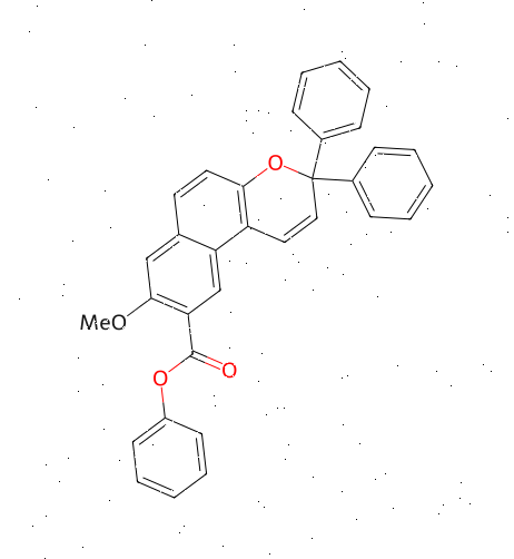 COc1cc2ccc3c(c2cc1C(=O)Oc1ccccc1)C=CC(c1ccccc1)(c1ccccc1)O3